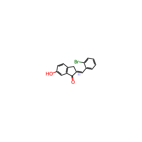 O=C1/C(=C/c2ccccc2Br)Cc2ccc(O)cc21